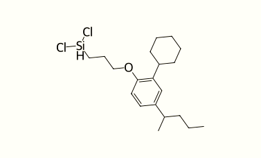 CCCC(C)c1ccc(OCCC[SiH](Cl)Cl)c(C2CCCCC2)c1